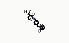 CCC1CCN/C(=C\c2ccc(/C=C3/C(=O)C4CCN3CC4)cc2)C1=O